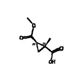 COC(=O)[C@@H]1C[C@@]1(C)C(=O)O